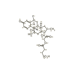 CC1C[C@H]2[C@@H]3CC(F)C4=CC(=O)C=C[C@]4(C)[C@@]3(F)C(O)C[C@]2(C)[C@H]1C(=O)COC(=O)CCS(=O)(=O)O